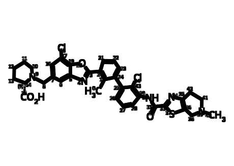 Cc1c(-c2nc3cc(CN4CCCC[C@H]4C(=O)O)cc(Cl)c3o2)cccc1-c1cccc(NC(=O)c2nc3c(s2)CN(C)CC3)c1Cl